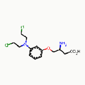 NC(COc1cccc(N(CCCl)CCCl)c1)CC(=O)O